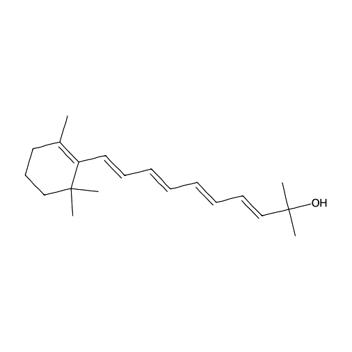 CC1=C(C=CC=CC=CC=CC(C)(C)O)C(C)(C)CCC1